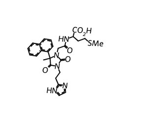 CSCCC(NC(=O)CN1C(=O)N(CCc2ncc[nH]2)C(=O)C1(C)c1cccc2ccccc12)C(=O)O